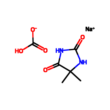 CC1(C)NC(=O)NC1=O.O=C([O-])O.[Na+]